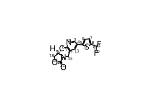 Cc1ncc(-c2ccc(C(F)F)s2)cc1CN1CCOC1=O